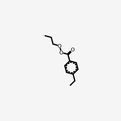 [CH2]CCOOC(=O)c1ccc(CC)cc1